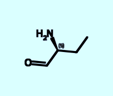 CC[C@H](N)C=O